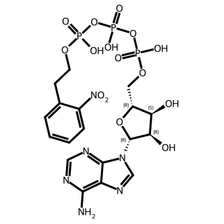 Nc1ncnc2c1ncn2[C@@H]1O[C@H](COP(=O)(O)OP(=O)(O)OP(=O)(O)OCCc2ccccc2[N+](=O)[O-])[C@@H](O)[C@H]1O